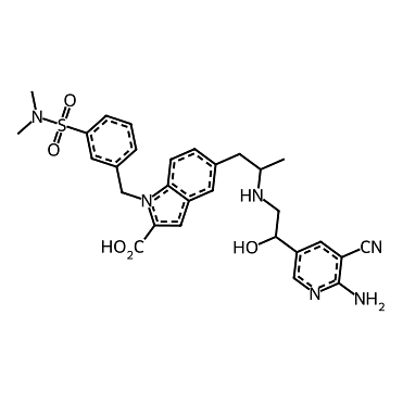 CC(Cc1ccc2c(c1)cc(C(=O)O)n2Cc1cccc(S(=O)(=O)N(C)C)c1)NCC(O)c1cnc(N)c(C#N)c1